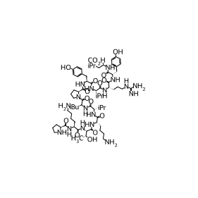 CC[C@H](C)[C@H](NC(=O)[C@@H](NC(=O)[C@H](CCCCN)NC(=O)[C@@H](NC(=O)[C@H](CCCCN)NC(=O)[C@@H]1CCCN1)[C@@H](C)O)C(C)C)C(=O)N1CCC[C@H]1C(=O)N[C@@H](Cc1ccc(O)cc1)C(=O)N[C@H](C(=O)N[C@@H](CCCNC(=N)N)C(=O)N[C@@H](Cc1ccc(O)cc1)C(=O)N[C@@H](CC(C)C)C(=O)O)C(C)C